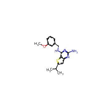 COc1cccc(CNc2nc(N)nc3cc(C(C)C)sc23)c1